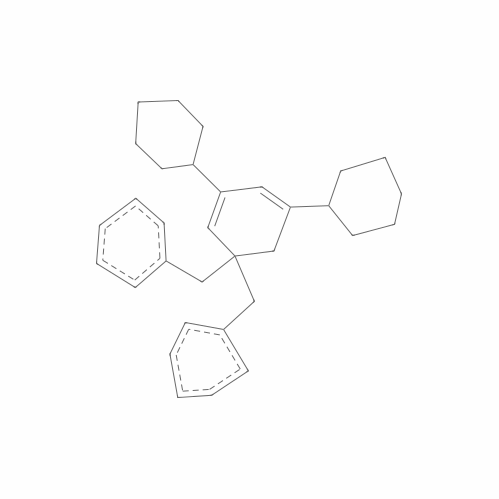 C1=C(C2CCCCC2)C=C(C2CCCCC2)CC1(Cc1ccccc1)Cc1ccccc1